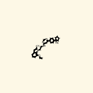 Cc1cc2cccc(OCF)c2n1CCNc1cc(-c2ccc(C3(C#N)CCCC3)cc2)ncn1